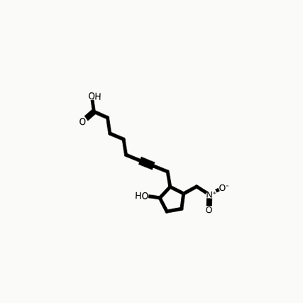 O=C(O)CCCCC#CCC1C(O)CCC1C[N+](=O)[O-]